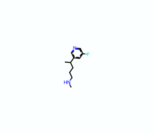 CNCCCC(C)c1cncc(F)c1